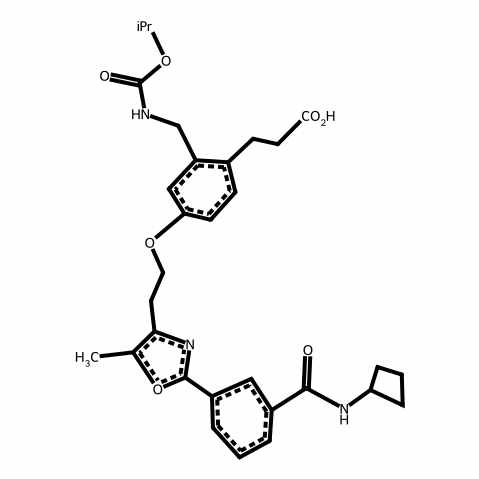 Cc1oc(-c2cccc(C(=O)NC3CCC3)c2)nc1CCOc1ccc(CCC(=O)O)c(CNC(=O)OC(C)C)c1